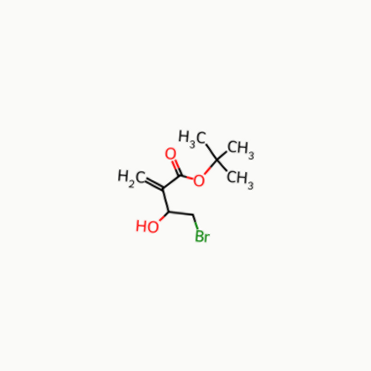 C=C(C(=O)OC(C)(C)C)C(O)CBr